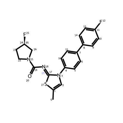 Cc1cn(-c2ccc(-c3ccc(F)cc3)cc2)/c(=N/C(=O)N2CC[C@@H](F)C2)s1